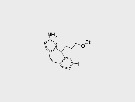 CCOCCCC1c2cc(N)ccc2C=Cc2ccc(I)cc21